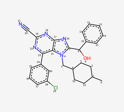 CC1CCC(Cn2c(C(O)c3ccccc3)nc3nc(C#N)nc(-c4cccc(Cl)c4)c32)CC1